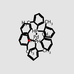 Cc1ccccc1[PH]([Pd][PH](c1ccccc1C)(c1ccccc1C)c1ccccc1C)(c1ccccc1C)c1ccccc1C